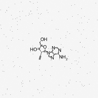 C#CC1[C@H](n2cnc3c(N)ncnc32)O[C@H](CO)[C@H]1O